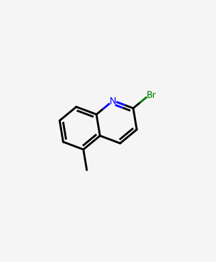 Cc1cccc2nc(Br)ccc12